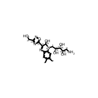 Cc1cc2c(cc1C)N(C[C@H](O)[C@H](O)[C@H](O)CN)C(O)C(c1nc(CO)no1)=N2